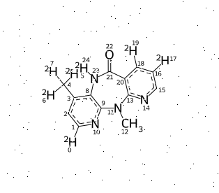 [2H]c1cc(C([2H])([2H])[2H])c2c(n1)N(C)c1ncc([2H])c([2H])c1C(=O)N2[2H]